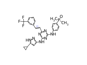 CP(C)(=O)c1ccc(Nc2nc(/C=C/c3cccc(C(F)(F)F)c3)nc(Nc3cc(C4CC4)[nH]n3)n2)cc1